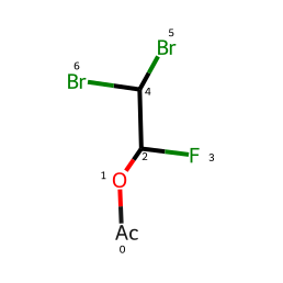 CC(=O)OC(F)C(Br)Br